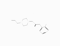 CCCN1CCN(CC(=O)Cc2ccccc2C)CC1.Cl.Cl